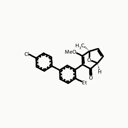 CCc1ccc(-c2ccc(Cl)cc2)cc1C1=C(OC)[C@@]2(C)C=C[C@H](O2)C1=O